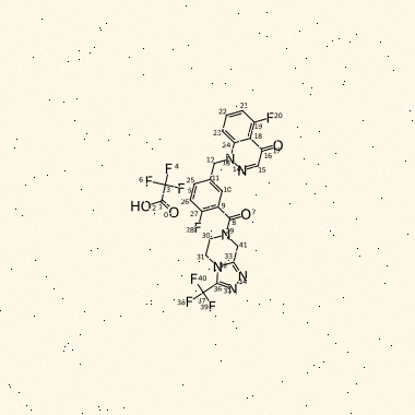 O=C(O)C(F)(F)F.O=C(c1cc(Cn2ncc(=O)c3c(F)cccc32)ccc1F)N1CCn2c(nnc2C(F)(F)F)C1